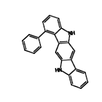 c1ccc(-c2cccc3[nH]c4cc5c(cc4c23)[nH]c2ccccc25)cc1